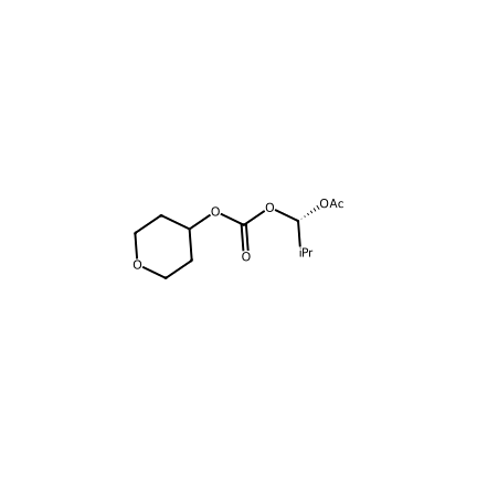 CC(=O)O[C@@H](OC(=O)OC1CCOCC1)C(C)C